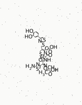 CC(C)(ON=C(C(=O)N[C@@H]1C(=O)N2C(OC(=O)O)=C(CSc3nc(-c4ccc(O)c(O)c4)cs3)CS[C@@H]12)c1csc(N)n1)C(=O)O